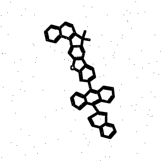 CC1(C)c2cc3c(cc2-c2c1ccc1ccccc21)oc1cc(-c2c4ccccc4c(-c4ccc5ccccc5c4)c4ccccc24)ccc13